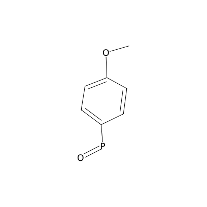 COc1ccc(P=O)cc1